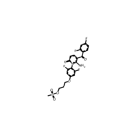 CS(=O)(=O)OCCCOc1cc(F)c(-n2c(N)c(C(=O)c3ccc(F)cc3F)ccc2=O)c(F)c1